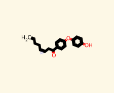 C=CCC/C=C\CC(=O)c1ccc(Oc2ccc(O)cc2)cc1